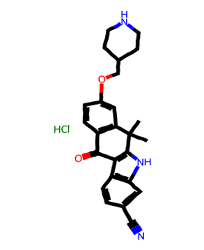 CC1(C)c2cc(OCC3CCNCC3)ccc2C(=O)c2c1[nH]c1cc(C#N)ccc21.Cl